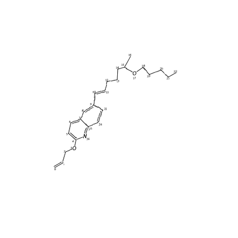 C=CCOc1ccc2cc(C=CCCCC(C)OCCCCC)ccc2n1